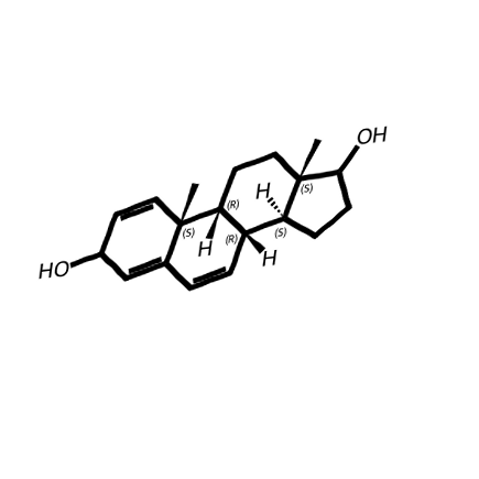 C[C@]12C=CC(O)C=C1C=C[C@@H]1[C@H]2CC[C@]2(C)C(O)CC[C@@H]12